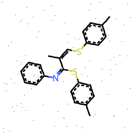 CC(=CSc1ccc(C)cc1)C(=Nc1ccccc1)Sc1ccc(C)cc1